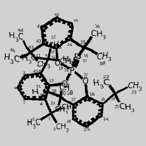 CC(C)(C)c1cccc(C(C)(C)C)c1OP(=O)(Oc1c(C(C)(C)C)cccc1C(C)(C)C)Oc1c(C(C)(C)C)cccc1C(C)(C)C